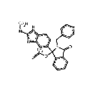 O=C(O)Nc1nc2cc(C3(OC(=O)C(F)(F)F)c4ccccc4C(=O)N3Cc3ccncc3)ccc2[nH]1